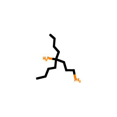 CCCCC(P)(CCCC)CCCP